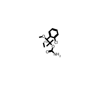 CC[C@](OC)(c1ccccc1Cl)C(C)(C)OC(N)=O